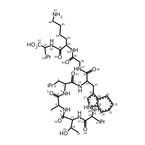 CC(C)CC(NC(=O)C(C)NC(=O)C(NC(=O)C(N)C(C)C)C(C)O)C(=O)NC(Cc1c[nH]c2ccccc12)C(=O)NCC(=O)NC(CCCCN)C(=O)NC(C(=O)O)C(C)C